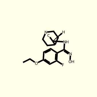 CCOc1ccc(/C(=N\O)N[C@H]2CN3CCC2CC3)c(F)c1